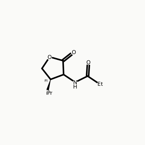 CCC(=O)NC1C(=O)OC[C@@H]1C(C)C